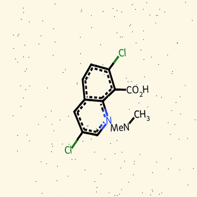 CNC.O=C(O)c1c(Cl)ccc2cc(Cl)cnc12